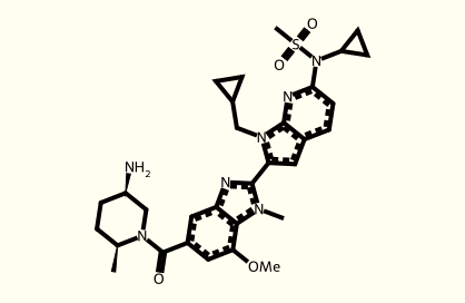 COc1cc(C(=O)N2C[C@H](N)CC[C@@H]2C)cc2nc(-c3cc4ccc(N(C5CC5)S(C)(=O)=O)nc4n3CC3CC3)n(C)c12